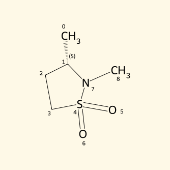 C[C@H]1CCS(=O)(=O)N1C